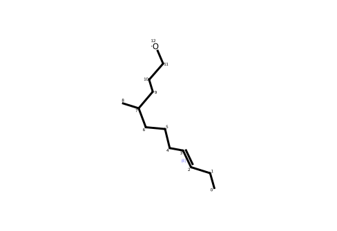 CC/C=C/CCCC(C)CCC[O]